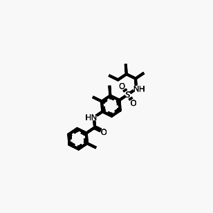 CCC(C)C(C)NS(=O)(=O)c1ccc(NC(=O)c2ccccc2C)c(C)c1C